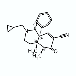 C[C@@H]1C(=O)C(C#N)=C[C@]2(c3ccccc3)C(=O)N(CC3CC3)CC[C@@]12C